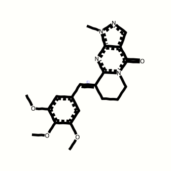 COc1cc(/C=C2\CCCn3c2nc2c(cnn2C)c3=O)cc(OC)c1OC